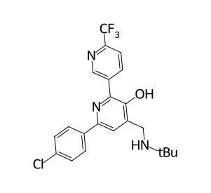 CC(C)(C)NCc1cc(-c2ccc(Cl)cc2)nc(-c2ccc(C(F)(F)F)nc2)c1O